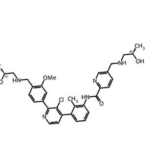 COc1cc(-c2nccc(-c3cccc(NC(=O)c4ccc(CNC[C@@H](C)O)cn4)c3C)c2Cl)ccc1CNC[C@H](C)O